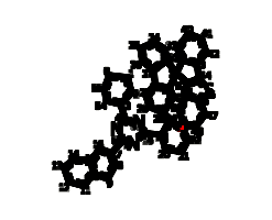 c1ccc(-c2nc(-c3ccc4ccccc4c3)nc(-c3ccccc3-c3ccc4c(c3)C3(c5ccccc5-4)c4ccccc4-c4sc5ccccc5c43)n2)cc1